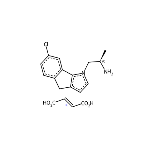 C[C@@H](N)Cn1ccc2c1-c1cc(Cl)ccc1C2.O=C(O)/C=C/C(=O)O